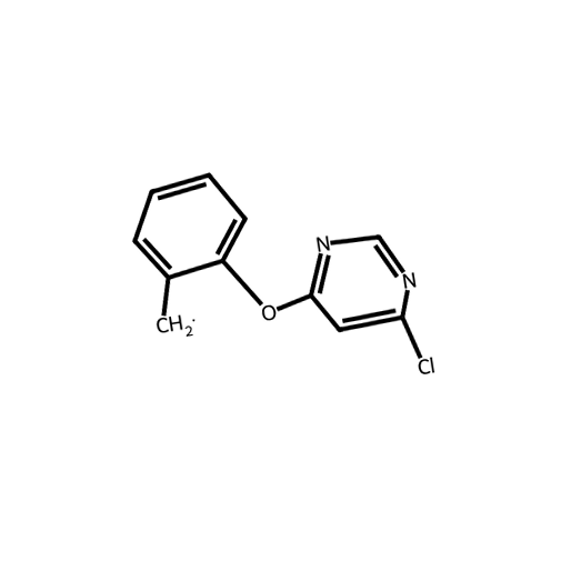 [CH2]c1ccccc1Oc1cc(Cl)ncn1